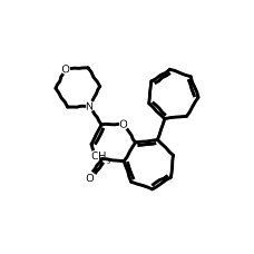 C/C=C(\OC1=C(C2=CC=CC=CC2)CC=CC=C1C=O)N1CCOCC1